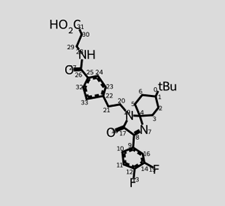 CC(C)(C)C1CCC2(CC1)N=C(c1ccc(F)c(F)c1)C(=O)N2CCc1ccc(C(=O)NCCC(=O)O)cc1